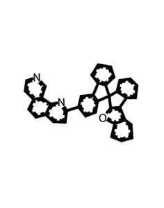 c1ccc2c(c1)-c1cc(-c3ccc4ccc5ccncc5c4n3)ccc1C21c2ccccc2-c2c1oc1ccccc21